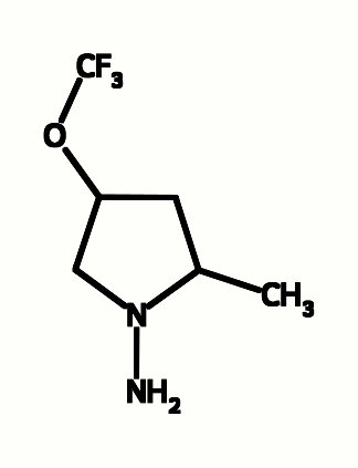 CC1CC(OC(F)(F)F)CN1N